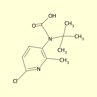 Cc1nc(Cl)ccc1N(C(=O)O)C(C)(C)C